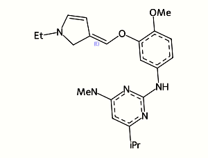 CCN1C=C/C(=C\Oc2cc(Nc3nc(NC)cc(C(C)C)n3)ccc2OC)C1